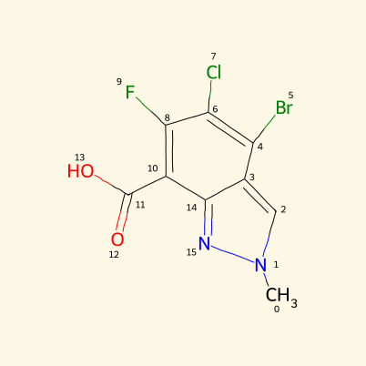 Cn1cc2c(Br)c(Cl)c(F)c(C(=O)O)c2n1